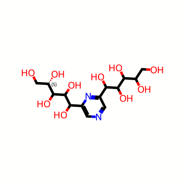 OCC(O)C(O)C(O)C(O)c1cncc(C(O)C(O)C(O)[C@@H](O)CO)n1